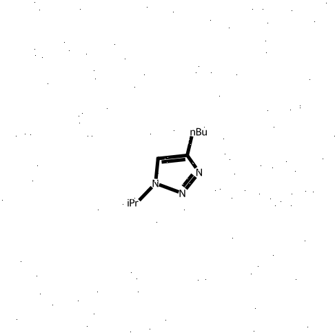 CCCCc1cn(C(C)C)nn1